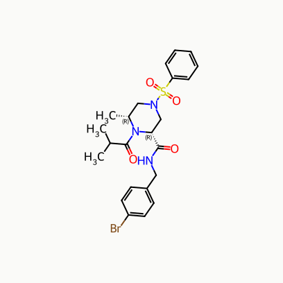 CC(C)C(=O)N1[C@H](C)CN(S(=O)(=O)c2ccccc2)C[C@@H]1C(=O)NCc1ccc(Br)cc1